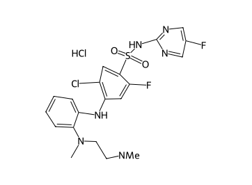 CNCCN(C)c1ccccc1Nc1cc(F)c(S(=O)(=O)Nc2ncc(F)cn2)cc1Cl.Cl